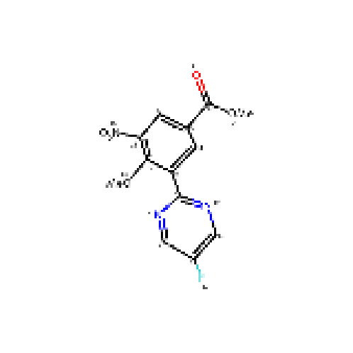 COC(=O)c1cc(-c2ncc(F)cn2)c(OC)c([N+](=O)[O-])c1